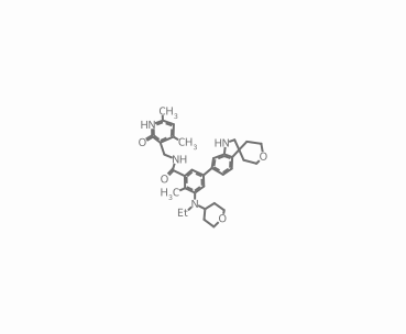 CCN(c1cc(-c2ccc3c(c2)NCC32CCOCC2)cc(C(=O)NCc2c(C)cc(C)[nH]c2=O)c1C)C1CCOCC1